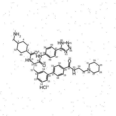 Cl.NCC1CCC(C(=O)N[C@@H](Cc2cccc(-c3ccc(C(=O)NCCN4CCCCC4)cc3)c2)C(=O)Nc2ccc(-c3nnn[nH]3)cc2)CC1